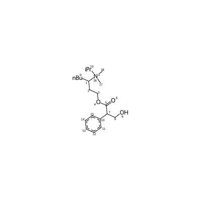 CCCCC(CCOC(=O)C(CO)c1ccccc1)[N+](C)(C)C(C)C